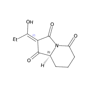 CC/C(O)=C1\C(=O)[C@@H]2CCCC(=O)N2C1=O